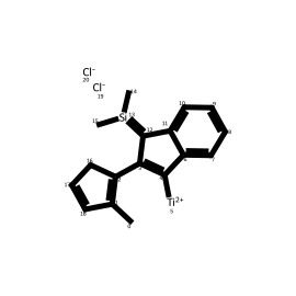 CC1=C(C2=[C]([Ti+2])c3ccccc3C2=[Si](C)C)CC=C1.[Cl-].[Cl-]